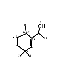 CC(O)C1=CC(C)(C)CC[C@H]1C